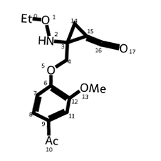 CCONC1(COc2ccc(C(C)=O)cc2OC)CC1=C=O